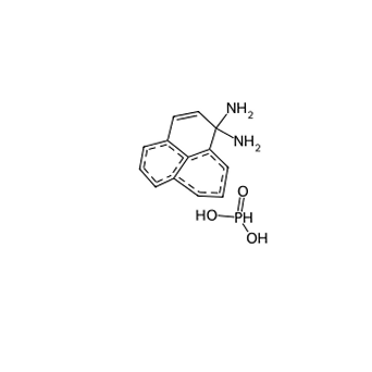 NC1(N)C=Cc2cccc3cccc1c23.O=[PH](O)O